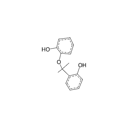 CC(C)(Oc1ccccc1O)c1ccccc1O